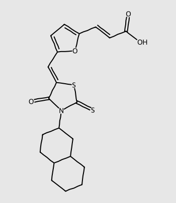 O=C(O)C=Cc1ccc(/C=C2\SC(=S)N(C3CCC4CCCCC4C3)C2=O)o1